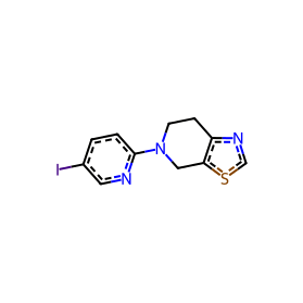 Ic1ccc(N2CCc3ncsc3C2)nc1